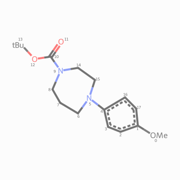 COc1ccc(N2CCCN(C(=O)OC(C)(C)C)CC2)cc1